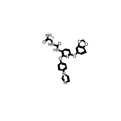 NC(=O)CNC(=O)Nc1ccc(Oc2ccc3c(c2)OCO3)nc1Oc1ccc(-n2ccnc2)cc1